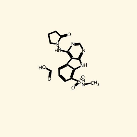 CNS(=O)(=O)c1cccc2c1[nH]c1ncnc(NN3CCCC3=O)c12.O=CO